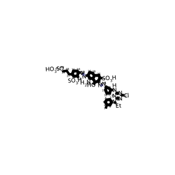 CCN(c1cccc(C)c1)c1nc(Cl)nc(Nc2cccc(/N=N/c3c(S(=O)(=O)O)cc4ccc(/N=N/c5ccc(CCCOS(=O)(=O)O)cc5S(=O)(=O)O)c(N)c4c3O)c2)n1